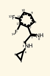 N=C(CNC1CC1)c1cccc(F)c1F